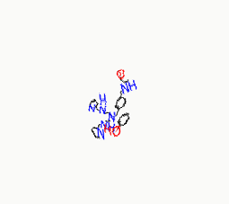 COCC(C)NCc1ccc(CN(CCNCc2ccccn2)CCNCc2ccccn2)cc1.Oc1ccccc1